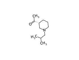 CC(=O)[C@@H]1CCCN(CC(C)C)C1